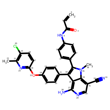 C=CC(=O)Nc1ccc(-c2c(-c3ccc(Oc4ccc(Cl)c(C)n4)cc3)c3c(N)ncc(C#N)c3n2C)cc1